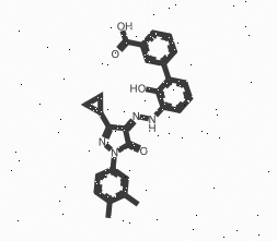 Cc1ccc(N2N=C(C3CC3)C(=NNc3cccc(-c4cccc(C(=O)O)c4)c3O)C2=O)cc1C